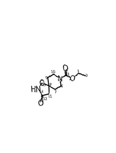 CCOC(=O)N1CCC2(CC1)CC(=O)NO2